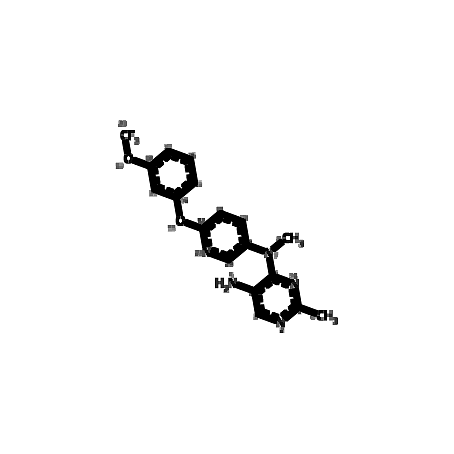 Cc1ncc(N)c(N(C)c2ccc(Oc3cccc(OC(F)(F)F)c3)nc2)n1